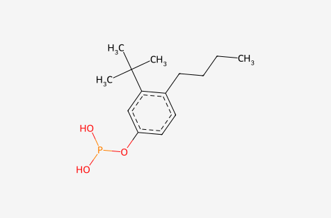 CCCCc1ccc(OP(O)O)cc1C(C)(C)C